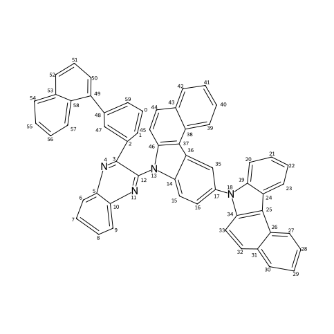 c1cc(-c2nc3ccccc3nc2-n2c3ccc(-n4c5ccccc5c5c6ccccc6ccc54)cc3c3c4ccccc4ccc32)cc(-c2cccc3ccccc23)c1